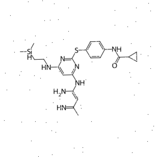 CC(=N)/C=C(\N)Nc1cc(NCC[SiH](C)C)nc(Sc2ccc(NC(=O)C3CC3)cc2)n1